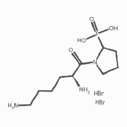 Br.Br.NCCCC[C@H](N)C(=O)N1CCCC1P(=O)(O)O